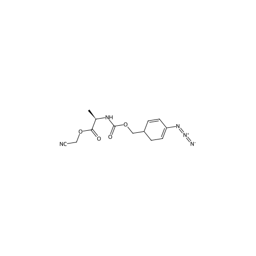 C[C@@H](NC(=O)OCC1C=CC(N=[N+]=[N-])=CC1)C(=O)OCC#N